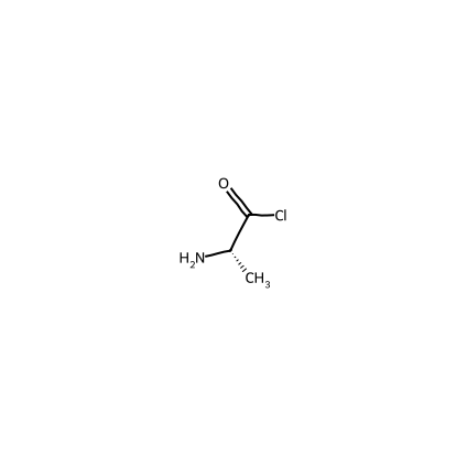 C[C@H](N)C(=O)Cl